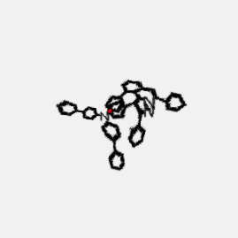 c1ccc(-c2ccc(N(c3ccc(-c4ccccc4)cc3)c3ccc(-c4cccc5cc(-c6ccccc6)n6nc(-c7ccccc7)c(-c7ccccc7)c6c45)cc3)cc2)cc1